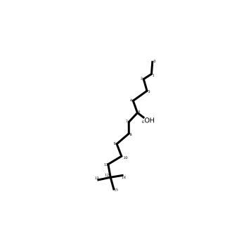 CCCCCC(O)CCCCCC(C)(C)C